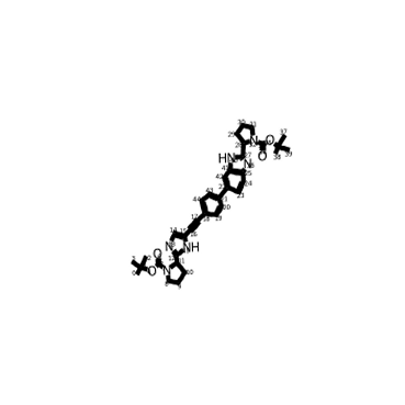 CC(C)(C)OC(=O)N1CCCC1c1ncc(C#Cc2ccc(-c3ccc4nc(C5CCCN5C(=O)OC(C)(C)C)[nH]c4c3)cc2)[nH]1